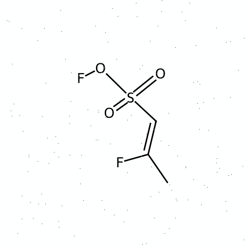 CC(F)=CS(=O)(=O)OF